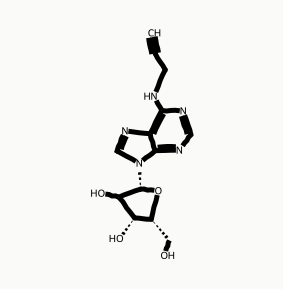 C#CCNc1ncnc2c1ncn2[C@@H]1O[C@H](CO)[C@H](O)C1O